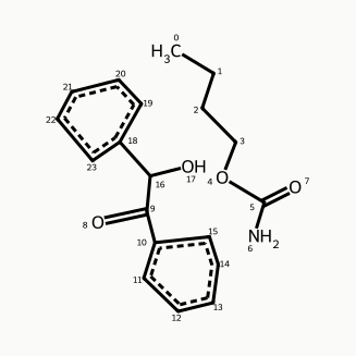 CCCCOC(N)=O.O=C(c1ccccc1)C(O)c1ccccc1